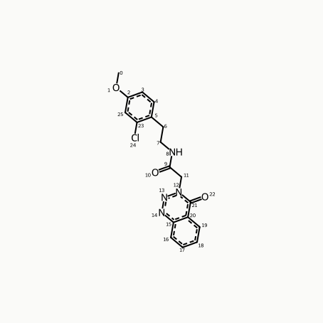 COc1ccc(CCNC(=O)Cn2nnc3ccccc3c2=O)c(Cl)c1